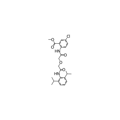 COC(=O)c1cc(Cl)ccc1NC(=O)COCC(=O)Nc1c(C(C)C)cccc1C(C)C